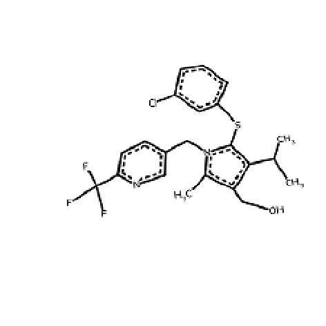 Cc1c(CO)c(C(C)C)c(Sc2cccc(Cl)c2)n1Cc1ccc(C(F)(F)F)nc1